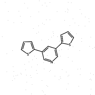 c1csc(-c2cncc(-c3cccs3)c2)c1